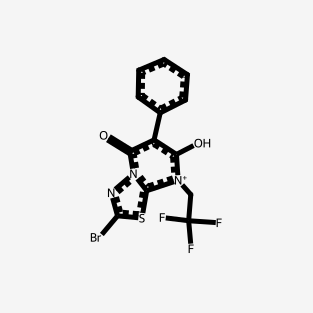 O=c1c(-c2ccccc2)c(O)[n+](CC(F)(F)F)c2sc(Br)nn12